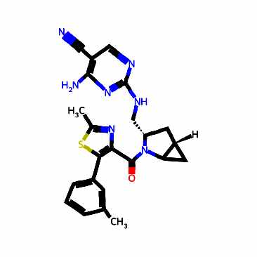 Cc1cccc(-c2sc(C)nc2C(=O)N2C3C[C@H]3C[C@H]2CNc2ncc(C#N)c(N)n2)c1